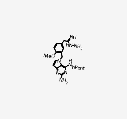 CCCCCNc1nc(N)nc2ccn(Cc3cc(CC(=N)NN)ccc3OC)c12